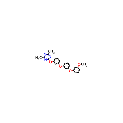 COc1cccc(Oc2cccc(Oc3cccc(Oc4nc(C)nc(C)n4)c3)c2)c1